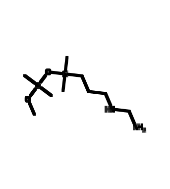 CO[Si](C)(C)O[Si](C)(C)CCCNCN